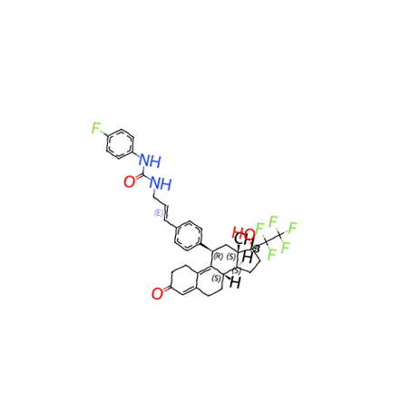 C[C@]12C[C@H](c3ccc(/C=C/CNC(=O)Nc4ccc(F)cc4)cc3)C3=C4CCC(=O)C=C4CC[C@H]3[C@@H]1CC[C@@]2(O)C(F)(F)C(F)(F)F